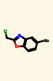 CC(C)(C)c1ccc2oc(CCl)nc2c1